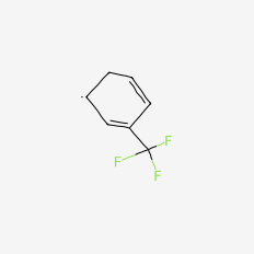 FC(F)(F)C1=C[CH]CC=C1